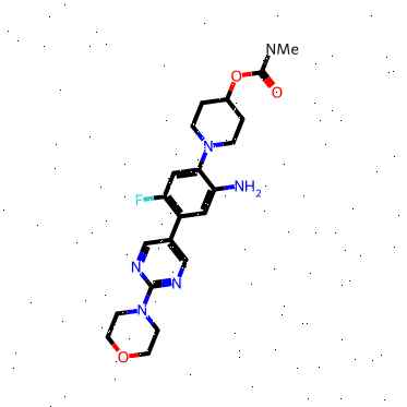 CNC(=O)OC1CCN(c2cc(F)c(-c3cnc(N4CCOCC4)nc3)cc2N)CC1